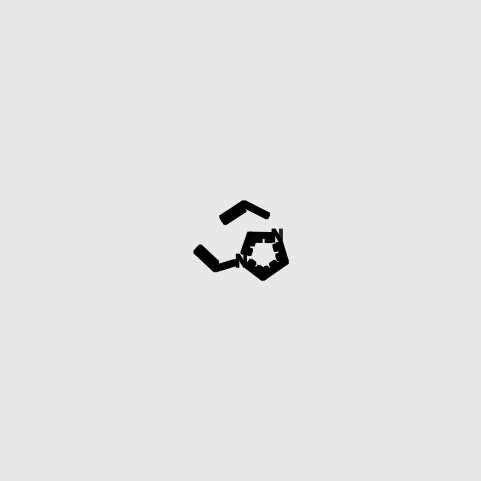 C=CC.C=Cn1ccnc1